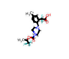 Cc1ccc(CN2CCN(C(=O)OC(C)C(F)(F)F)CC2)c(C(F)(F)C(=O)O)c1